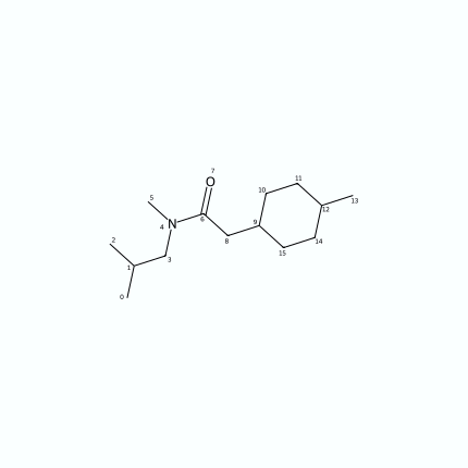 CC(C)CN(C)C(=O)CC1CCC(C)CC1